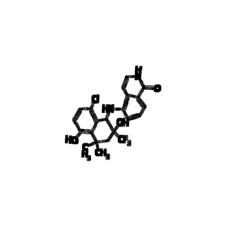 CC1(C)CC(O)(C(F)(F)F)C(Nc2cccc3c(=O)[nH]ccc23)c2c(Cl)ccc(O)c21